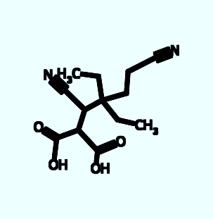 CCC(CC)(CCC#N)C(C#N)C(C(=O)O)C(=O)O